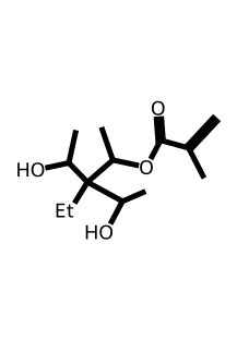 C=C(C)C(=O)OC(C)C(CC)(C(C)O)C(C)O